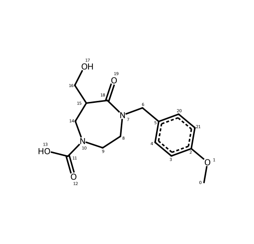 COc1ccc(CN2CCN(C(=O)O)CC(CO)C2=O)cc1